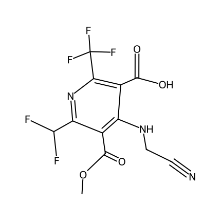 COC(=O)c1c(C(F)F)nc(C(F)(F)F)c(C(=O)O)c1NCC#N